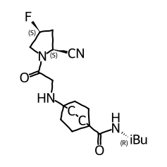 CC[C@@H](C)NC(=O)C12CCC(NCC(=O)N3C[C@@H](F)C[C@H]3C#N)(CC1)CC2